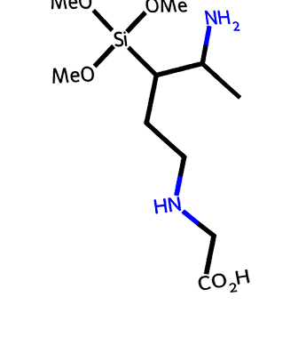 CO[Si](OC)(OC)C(CCNCC(=O)O)C(C)N